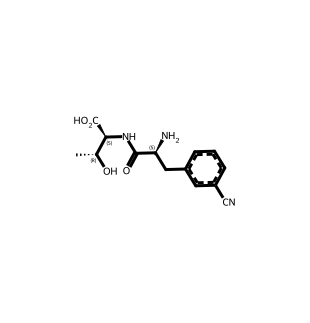 C[C@@H](O)[C@H](NC(=O)[C@@H](N)Cc1cccc(C#N)c1)C(=O)O